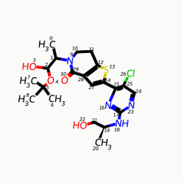 CC(C(O)OC(C)(C)C)N1CCc2sc(-c3nc(N[C@@H](C)CO)ncc3Cl)cc2C1=O